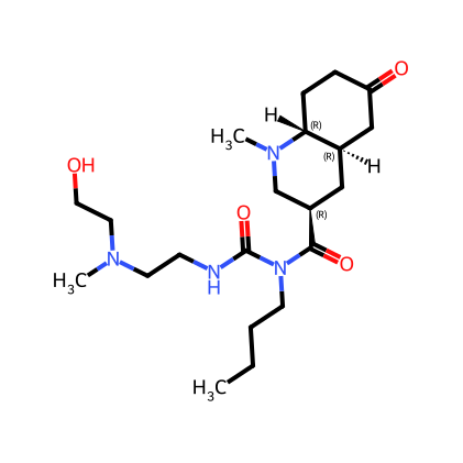 CCCCN(C(=O)NCCN(C)CCO)C(=O)[C@@H]1C[C@@H]2CC(=O)CC[C@H]2N(C)C1